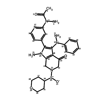 CC(=O)N(N)c1cc(-c2c(N(N)c3ccccc3)c3c(n2N)CN([S+]([O-])C2CCOCC2)CC3=O)ccn1